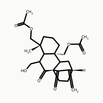 C=C1C(=O)[C@]23CC[C@H]1CC2[C@]1(COC(C)=O)CCC[C@@](C)(COC(C)=O)C1C(CO)C3=O